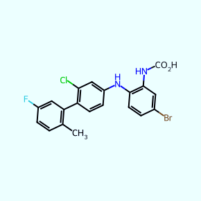 Cc1ccc(F)cc1-c1ccc(Nc2ccc(Br)cc2NC(=O)O)cc1Cl